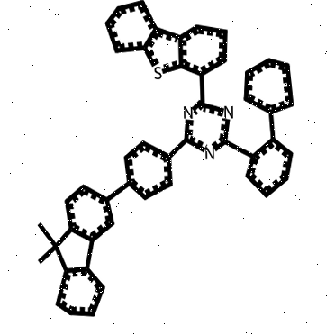 CC1(C)c2ccccc2-c2cc(-c3ccc(-c4nc(-c5ccccc5-c5ccccc5)nc(-c5cccc6c5sc5ccccc56)n4)cc3)ccc21